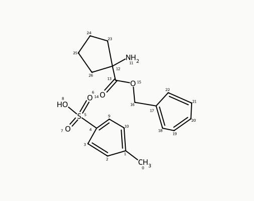 Cc1ccc(S(=O)(=O)O)cc1.NC1(C(=O)OCc2ccccc2)CCCC1